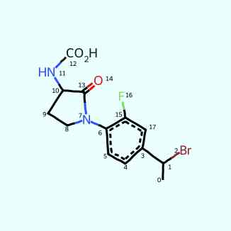 CC(Br)c1ccc(N2CCC(NC(=O)O)C2=O)c(F)c1